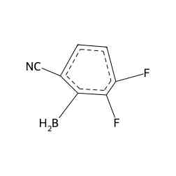 Bc1c(C#N)ccc(F)c1F